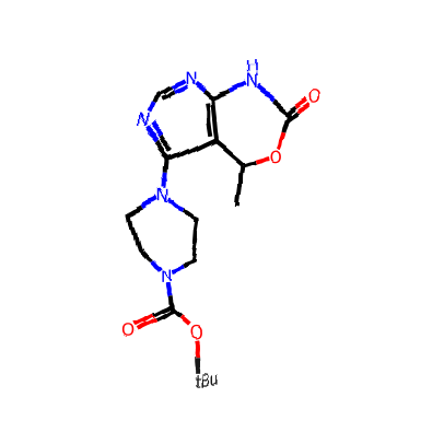 CC1OC(=O)Nc2ncnc(N3CCN(C(=O)OC(C)(C)C)CC3)c21